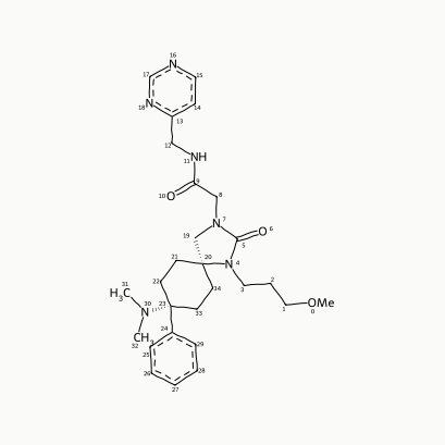 COCCCN1C(=O)N(CC(=O)NCc2ccncn2)C[C@]12CC[C@@](c1ccccc1)(N(C)C)CC2